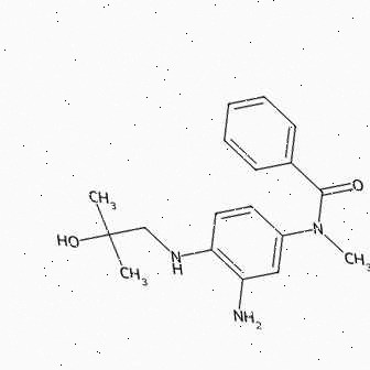 CN(C(=O)c1ccccc1)c1ccc(NCC(C)(C)O)c(N)c1